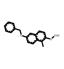 Cc1c(OC=O)ccc2cc(OCc3ccccc3)ccc12